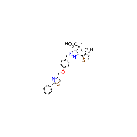 CC(C(=O)O)(C(=O)O)c1cn(Cc2ccc(OCc3csc(-c4ccccc4)n3)cc2)nc1-c1cccs1